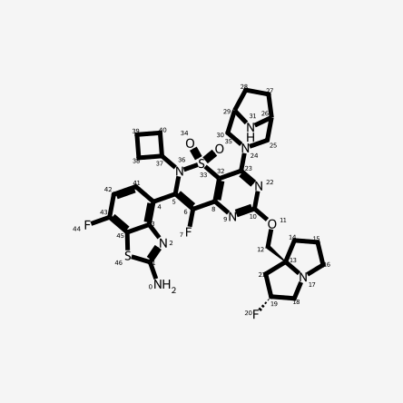 Nc1nc2c(C3=C(F)c4nc(OC[C@@]56CCCN5C[C@H](F)C6)nc(N5CC6CCC(C5)N6)c4S(=O)(=O)N3C3CCC3)ccc(F)c2s1